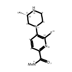 CNC(=O)c1ccc(N2CCN[C@@H](C)C2)c(F)n1